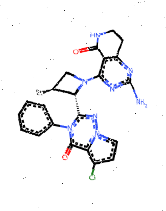 CC[C@H]1CN(c2nc(N)nc3c2C(=O)NCC3)[C@@H]1c1nn2ccc(Cl)c2c(=O)n1-c1ccccc1